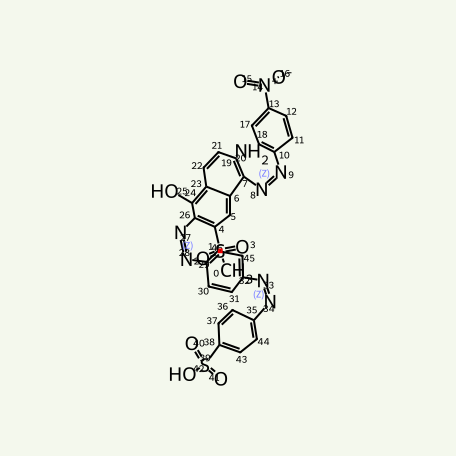 CS(=O)(=O)c1cc2c(/N=N\c3ccc([N+](=O)[O-])cc3)c(N)ccc2c(O)c1/N=N\c1ccc(/N=N\c2ccc(S(=O)(=O)O)cc2)cc1